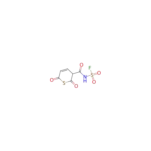 O=C1C=CC(C(=O)NS(=O)(=O)F)C(=O)S1